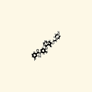 Cc1c(OCCN2CCN(C)CC2)cn2ncnc(Oc3ccc(NC(=O)c4cccc(F)c4)cc3F)c12